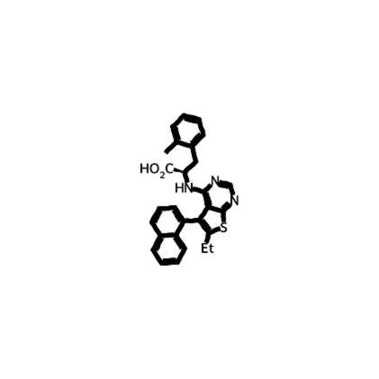 CCc1sc2ncnc(N[C@H](Cc3ccccc3C)C(=O)O)c2c1-c1cccc2ccccc12